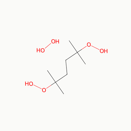 CC(C)(CCC(C)(C)OO)OO.OO